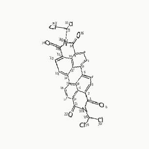 O=C1c2ccc3c4ccc5c6c(ccc(c7ccc(c2c37)C(=O)N1C(Cl)Cl)c64)C(=O)N(C(Cl)Cl)C5=O